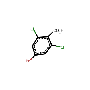 O=C(O)c1c(Cl)cc(Br)cc1Cl